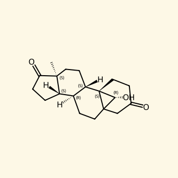 C[C@]12CC[C@H]3[C@@H](CCC45CC(=O)CC[C@]34[C@@H]5O)[C@@H]1CCC2=O